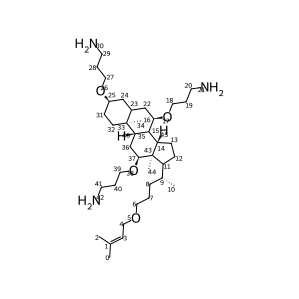 CC(C)=CCOCCC[C@@H](C)C1CC[C@H]2C3[C@H](OCCCN)CC4C[C@H](OCCCN)CC[C@]4(C)[C@H]3C[C@H](OCCCN)[C@]12C